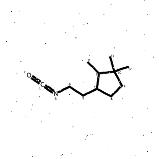 CC1C(CCN=C=O)CCC1(C)C